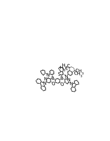 CC1(C)CCC(C)(C)c2cc(N3c4nc(-n5c6ccccc6c6ccccc65)cc5c4B(c4cc6c(cc4O5)Oc4cc(-n5c7ccccc7c7ccccc75)nc5c4B6c4ccccc4N5c4ccccc4)c4sc5ccccc5c43)ccc21